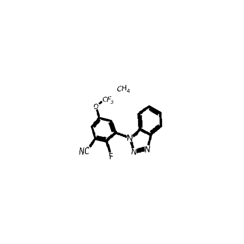 C.N#Cc1cc(OC(F)(F)F)cc(-n2nnc3ccccc32)c1F